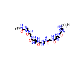 CCCNC(=O)c1nc(NC(=O)CCNC(=O)c2cc(NC(=O)c3nc(NC(=O)CCNC(=O)c4cc(NC(=O)c5nc(NC(=O)O)cn5C)cn4C)cn3C)cn2C)cn1C